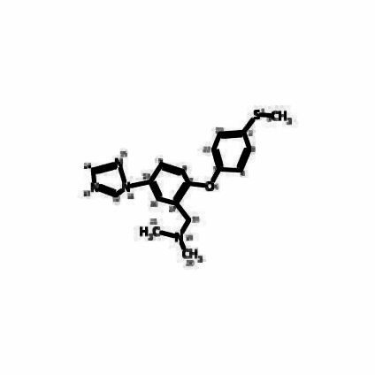 CSc1ccc(Oc2ccc(-n3cncn3)cc2CN(C)C)cc1